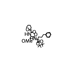 COCC(NC(=O)[C@@H]1CCCCO1)C(=O)NC(CCCc1ccccc1)B1OC(C)(C)C(C)(C)O1